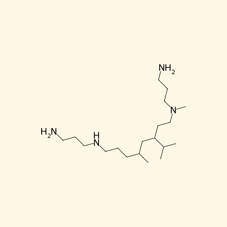 CC(CCCNCCCN)CC(CCN(C)CCCN)C(C)C